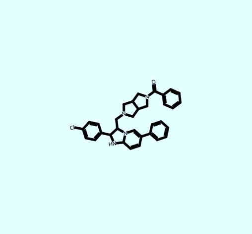 O=C(c1ccccc1)N1CC2CN(CC3C(c4ccc(Cl)cc4)NC4C=CC(c5ccccc5)=CN43)CC2C1